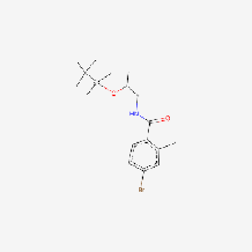 Cc1cc(Br)ccc1C(=O)NCC(C)O[Si](C)(C)C(C)(C)C